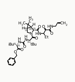 C=CCNC(=O)C(=O)C(CC)NC(=O)[C@@H]1[C@@H]2[C@H](CN1C(=O)[C@@H](NC(=O)N[C@H](C(=O)OCc1ccccc1)[C@@H](C)CC)C(C)(C)C)C2(C)C